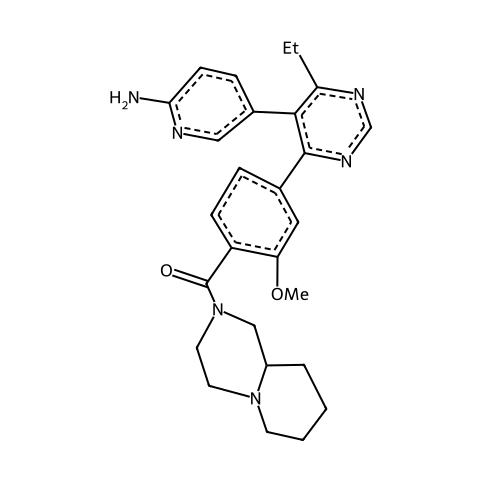 CCc1ncnc(-c2ccc(C(=O)N3CCN4CCCCC4C3)c(OC)c2)c1-c1ccc(N)nc1